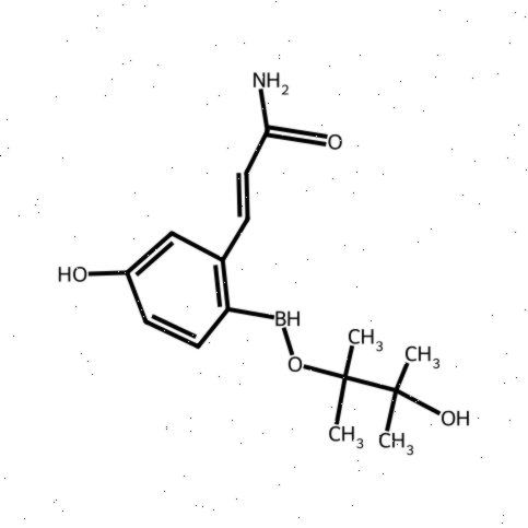 CC(C)(O)C(C)(C)OBc1ccc(O)cc1/C=C/C(N)=O